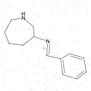 C(=N\C1CCCCNC1)/c1ccccc1